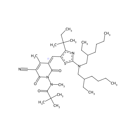 CCCCC(CC)CN(CC(CC)CCCC)c1nc(C(C)(C)CC)c(/C=C2\C(=O)N(N(C)C(=O)C(C)(C)C)C(=O)C(C#N)=C2C)s1